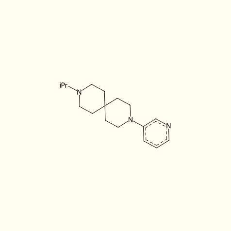 CC(C)N1CCC2(CCN(c3cccnc3)CC2)CC1